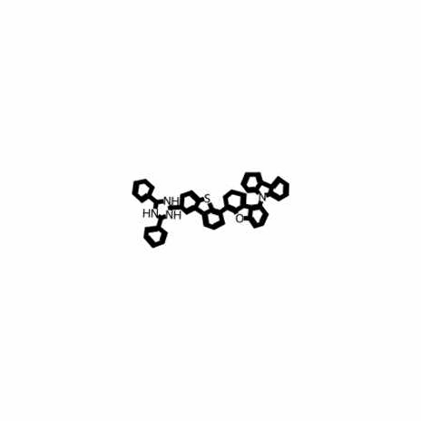 C1=CCCC(C2NC(c3ccccc3)NC(C3C=c4c(sc5c(C6=c7oc8cccc(-n9c%10ccccc%10c%10ccccc%109)c8c7=CCC6)cccc45)=CC3)N2)=C1